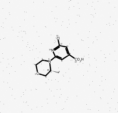 C[C@@H]1COCCN1c1cc(C(=O)O)cc(Cl)n1